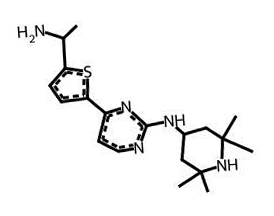 CC(N)c1ccc(-c2ccnc(NC3CC(C)(C)NC(C)(C)C3)n2)s1